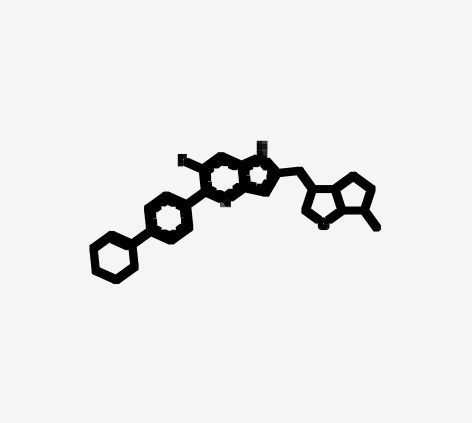 CC1CCC2C(Cc3cc4nc(-c5ccc(C6=CCCCC6)cc5)c(F)cc4[nH]3)COC12